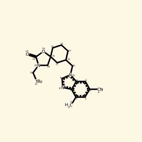 Cc1cc(C#N)cc2c1ncn2CC1CCCC2(C1)CN(CC(C)(C)C)C(=O)O2